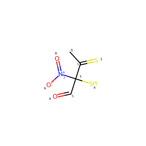 CC(=S)C(S)(C=O)[N+](=O)[O-]